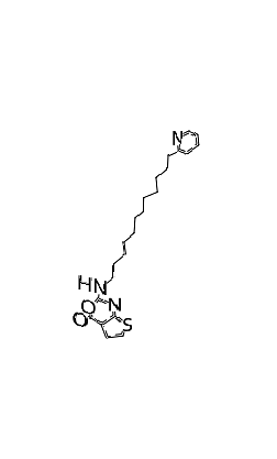 O=c1oc(NCCCCCCCCCCCCc2ccccn2)nc2sccc12